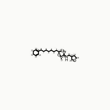 CCC(CCCCCCCC1=CCCC=C1)ON(C)C(=O)NCC1CCOC1